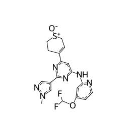 Cn1cc(-c2nc(Nc3cc(OC(F)F)ccn3)cc(C3=CC[S+]([O-])CC3)n2)cn1